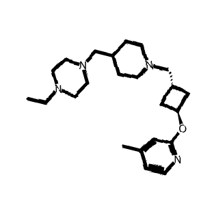 CCN1CCN(CC2CCN(C[C@H]3C[C@H](Oc4cc(C)ccn4)C3)CC2)CC1